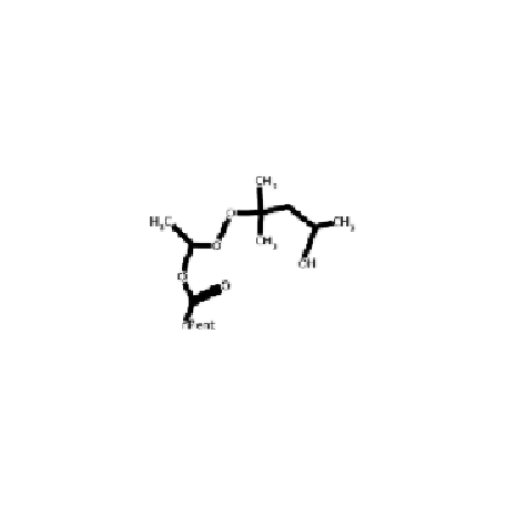 CCCCCC(=O)OC(C)OOC(C)(C)CC(C)O